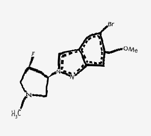 COc1cc2nn([C@H]3CN(C)C[C@H]3F)cc2cc1Br